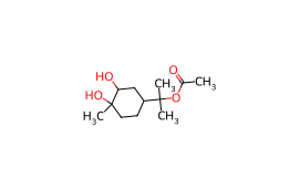 CC(=O)OC(C)(C)C1CCC(C)(O)C(O)C1